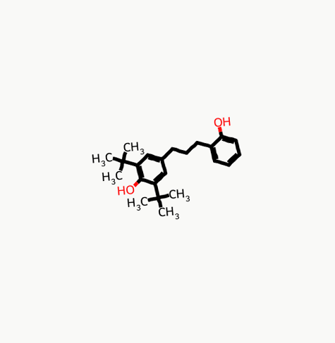 CC(C)(C)c1cc(CCCc2ccccc2O)cc(C(C)(C)C)c1O